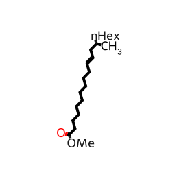 CCCCCCC(C)C/C=C/CCCCCCCCCC(=O)OC